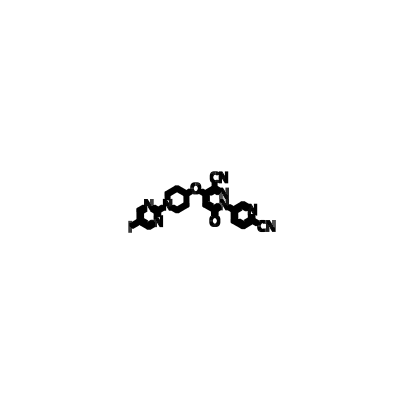 N#Cc1ccc(-n2nc(C#N)c(OC3CCN(c4ncc(I)cn4)CC3)cc2=O)cn1